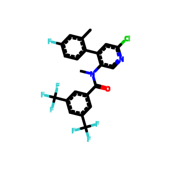 Cc1cc(F)ccc1-c1cc(Cl)ncc1N(C)C(=O)c1cc(C(F)(F)F)cc(C(F)(F)F)c1